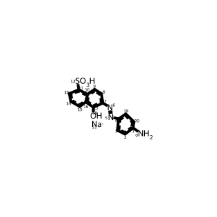 Nc1ccc(N=Nc2ccc3c(S(=O)(=O)O)cccc3c2O)cc1.[Na]